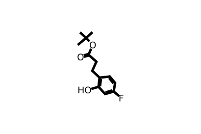 CC(C)(C)OC(=O)CCc1ccc(F)cc1O